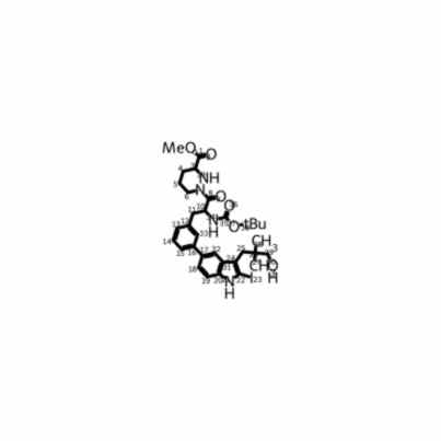 COC(=O)C1CCCN(C(=O)C(Cc2cccc(-c3ccc4[nH]c(I)c(CC(C)(C)CO)c4c3)c2)NC(=O)OC(C)(C)C)N1